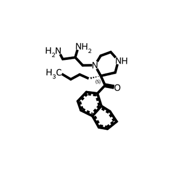 CCCC[C@@]1(C(=O)c2cccc3ccccc23)CNCCN1CC(N)CN